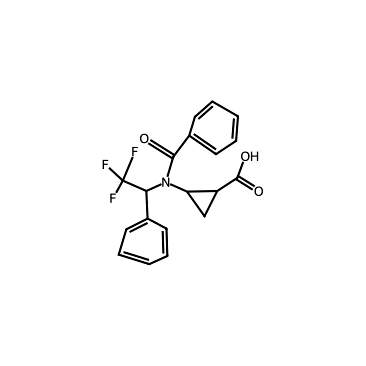 O=C(O)C1CC1N(C(=O)c1ccccc1)C(c1ccccc1)C(F)(F)F